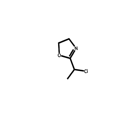 CC(Cl)C1=NCCO1